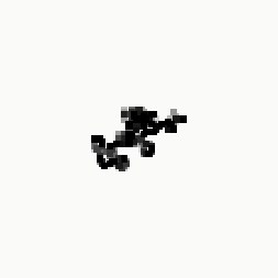 CC(C)SCCC(C(=O)NCCN1C(=O)C=CC1=O)S(=O)(=O)O